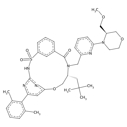 COC[C@H]1COCCN1c1cccc(CN2C(=O)c3cccc(c3)S(=O)(=O)Nc3nc(cc(-c4c(C)cccc4C)n3)OC[C@H]2CC(C)(C)C)n1